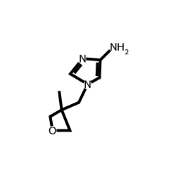 CC1(Cn2cnc(N)c2)COC1